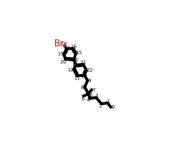 CCCCCC(C)(C)CCc1ccc(-c2ccc(Br)cc2)cc1